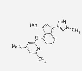 CNc1cc(Oc2cccc3c2ccn3-c2cnn(C)c2)nc(C(F)(F)F)c1.Cl